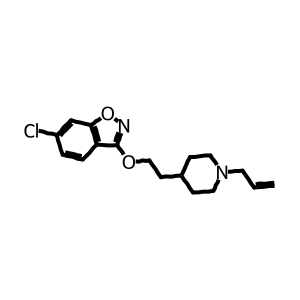 C=CCN1CCC(CCOc2noc3cc(Cl)ccc23)CC1